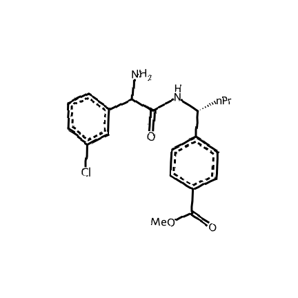 CCC[C@@H](NC(=O)C(N)c1cccc(Cl)c1)c1ccc(C(=O)OC)cc1